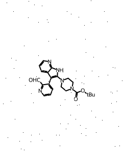 CC(C)(C)OC(=O)N1CCN(c2[nH]c3ncccc3c2-c2cccnc2C=O)CC1